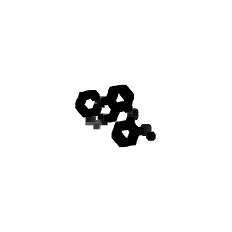 COc1ccccc1Oc1cccc(N2CCCCC2)c1CN